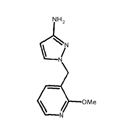 COc1ncccc1Cn1ccc(N)n1